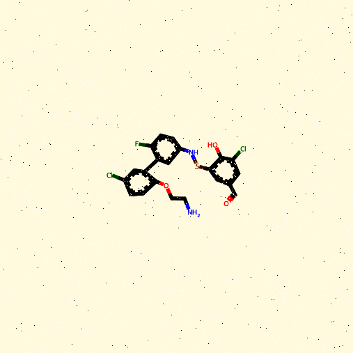 NCCOc1ccc(Cl)cc1-c1cc(NSc2cc(C=O)cc(Cl)c2O)ccc1F